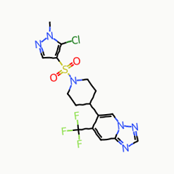 Cn1ncc(S(=O)(=O)N2CCC(c3cn4ncnc4cc3C(F)(F)F)CC2)c1Cl